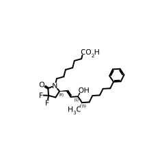 C[C@@H](CCCCCc1ccccc1)[C@H](O)C=C[C@H]1CC(F)(F)C(=O)N1CCCCCCC(=O)O